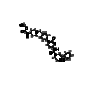 CC(C)(C)OC(=O)NC1CCN(Cc2ccc(-n3ccc(NC(=O)N4CCNC(c5ccccc5)C4)nc3=O)cc2)CC1